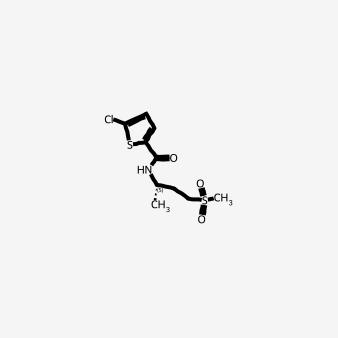 C[C@@H](CCS(C)(=O)=O)NC(=O)c1ccc(Cl)s1